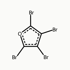 Brc1oc(Br)c(Br)c1Br